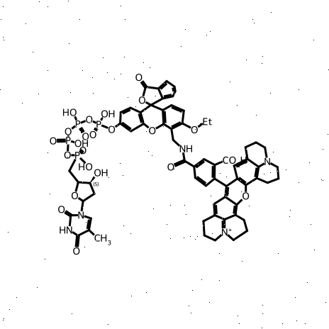 CCOc1ccc2c(c1CNC(=O)c1ccc(C3=c4cc5c6c(c4Oc4c3cc3c7c4CCCN7CCC3)CCC[N+]=6CCC5)c(C(=O)O)c1)Oc1cc(OP(=O)(O)OP(=O)(O)OP(=O)(O)OP(=O)(O)CC3OC(n4cc(C)c(=O)[nH]c4=O)C[C@@H]3O)ccc1C21OC(=O)c2ccccc21